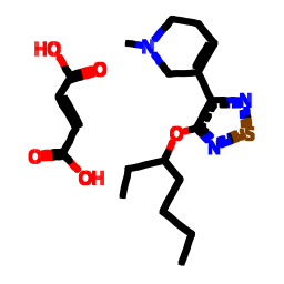 CCCCC(CC)Oc1nsnc1C1=CCCN(C)C1.O=C(O)C=CC(=O)O